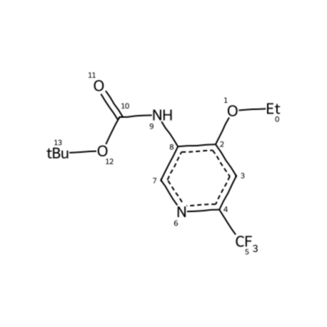 CCOc1cc(C(F)(F)F)ncc1NC(=O)OC(C)(C)C